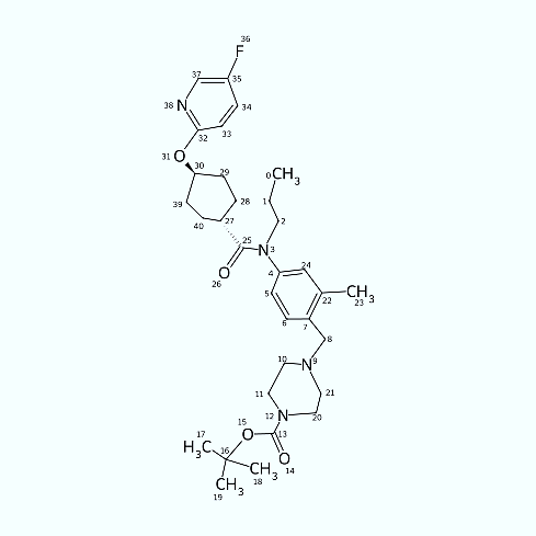 CCCN(c1ccc(CN2CCN(C(=O)OC(C)(C)C)CC2)c(C)c1)C(=O)[C@H]1CC[C@H](Oc2ccc(F)cn2)CC1